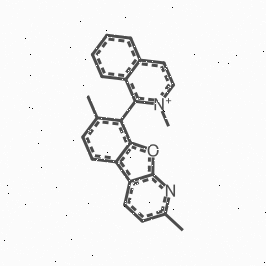 Cc1ccc2c(n1)oc1c(-c3c4ccccc4cc[n+]3C)c(C)ccc12